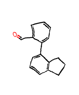 O=Cc1ccccc1-c1cccc2c1CCC2